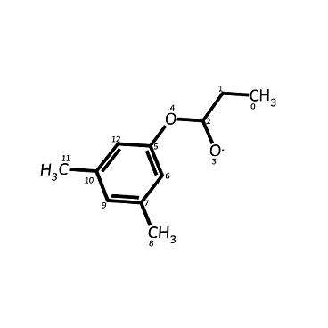 CCC([O])Oc1cc(C)cc(C)c1